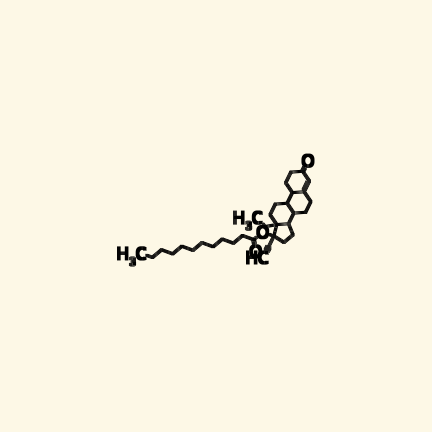 C#CC1(OC(=O)CCCCCCCCCCC)CCC2C3CCC4=CC(=O)CCC4C3CCC21CC